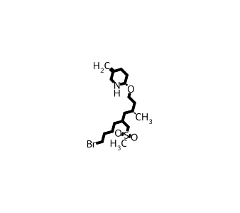 C=C1CC[C@@H](OCC[C@H](C)CC(CCCCBr)CS(C)(=O)=O)NC1